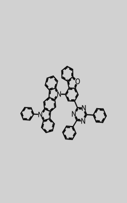 c1ccc(-c2nc(-c3ccccc3)nc(-c3cc(-n4c5ccccc5c5cc6c(cc54)c4ccccc4n6-c4ccccc4)c4c(c3)oc3ccccc34)n2)cc1